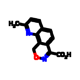 Cc1ccc2ccc3c(c2n1)CON=C3C(=O)O